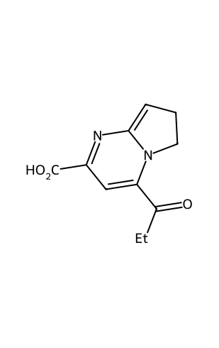 CCC(=O)C1=CC(C(=O)O)=NC2=CCCN21